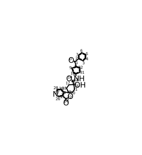 O=C(c1ccccc1)c1ccc(NC(=O)C2(O)CCC3(CC2)OC(=O)c2cnccc23)cc1